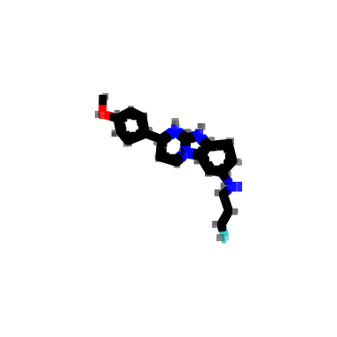 COc1ccc(-c2ccn3c(n2)nc2ccc(NCCCF)cc23)cc1